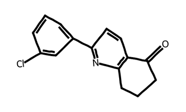 O=C1CCCc2nc(-c3cccc(Cl)c3)ccc21